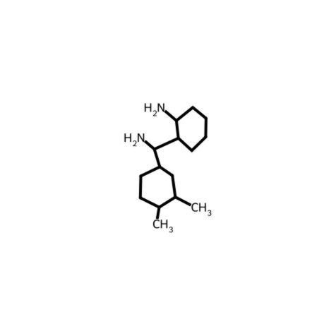 CC1CCC(C(N)C2CCCCC2N)CC1C